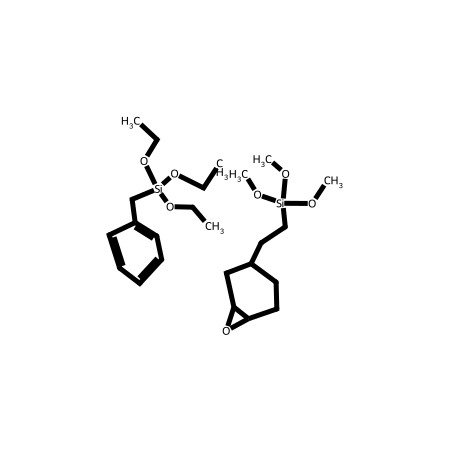 CCO[Si](Cc1ccccc1)(OCC)OCC.CO[Si](CCC1CCC2OC2C1)(OC)OC